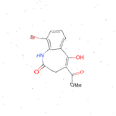 COC(=O)C1=C(O)c2cccc(Br)c2NC(=O)C1